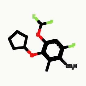 Cc1c(OC2CCCC2)c(OC(F)F)cc(F)c1C(=O)O